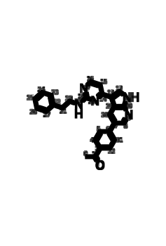 CC(=O)c1ccc(-c2cnc3[nH]cc(-c4ccnc(NCCc5ccccc5)n4)c3c2)cc1